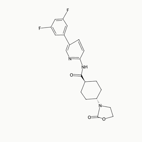 O=C1OCCN1[C@H]1CC[C@H](C(=O)Nc2ccc(-c3cc(F)cc(F)c3)cn2)CC1